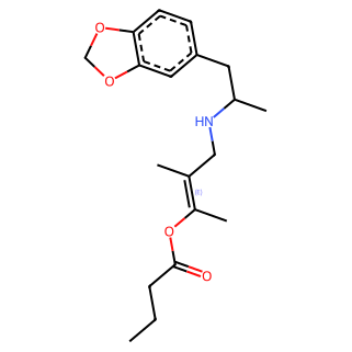 CCCC(=O)O/C(C)=C(\C)CNC(C)Cc1ccc2c(c1)OCO2